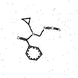 O=C(c1ccccc1)N(CN=C=S)C1CC1